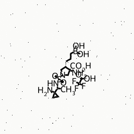 CC(NS(=O)(=O)N1C[C@H](CCCB(O)O)[C@](N)(C(=O)O)C1)C1(N)CC1.O=C(O)C(F)(F)F